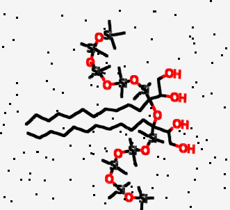 CCCCCCCCCCCC(OC(CCCCCCCCCCC)(C(O)CO)[Si](C)(C)O[Si](C)(C)O[Si](C)(C)O[Si](C)(C)O[Si](C)(C)C)(C(O)CO)[Si](C)(C)O[Si](C)(C)O[Si](C)(C)O[Si](C)(C)O[Si](C)(C)C